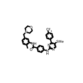 CSc1cnc(Nc2ccc(C(=O)Nc3cc(CN4CCOCC4)ccc3C)cc2)nc1-c1ccc(C(F)(F)F)cc1